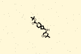 CC(C)C[C@@H](CO)NC1CC2(CCN(C(=O)OC(C)(C)C)CC2)C1